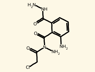 NNC(=O)c1cccc(N)c1C(=O)N(N)C(=O)CCl